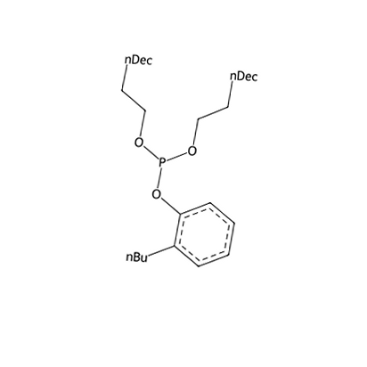 CCCCCCCCCCCCOP(OCCCCCCCCCCCC)Oc1ccccc1CCCC